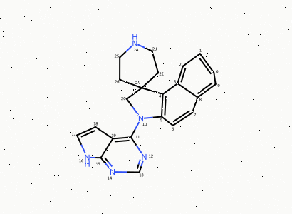 c1ccc2c3c(ccc2c1)N(c1ncnc2[nH]ccc12)CC31CCNCC1